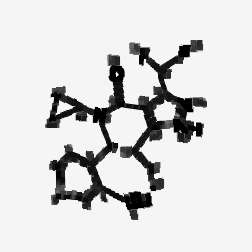 CC(C)(C)c1ccccc1CN(C(=O)c1c(C(F)F)n[nH]c1CF)C1CC1